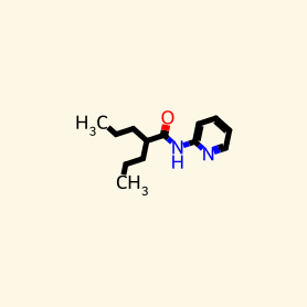 CCCC(CCC)C(=O)Nc1ccccn1